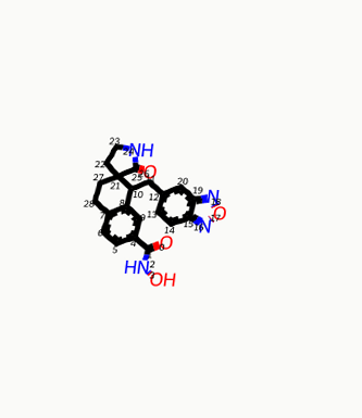 O=C(NO)c1ccc2c(c1)C(Cc1ccc3nonc3c1)C1(CCNC1=O)CC2